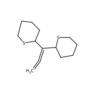 C=C=C(C1CCCCS1)C1CCCCS1